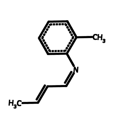 CC=C/C=N\c1ccccc1C